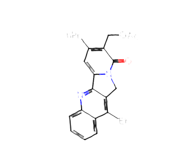 CCCc1cc2n(c(=O)c1COC(C)=O)Cc1c-2nc2ccccc2c1CC